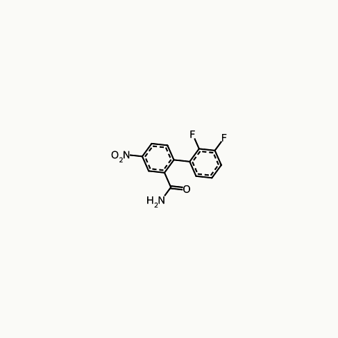 NC(=O)c1cc([N+](=O)[O-])ccc1-c1cccc(F)c1F